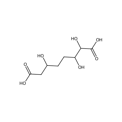 O=C(O)CC(O)CCC(O)C(O)C(=O)O